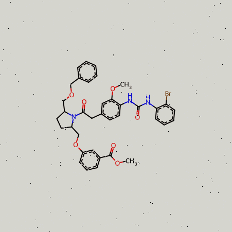 COC(=O)c1cccc(OCC2CCC(COCc3ccccc3)N2C(=O)Cc2ccc(NC(=O)Nc3ccccc3Br)c(OC)c2)c1